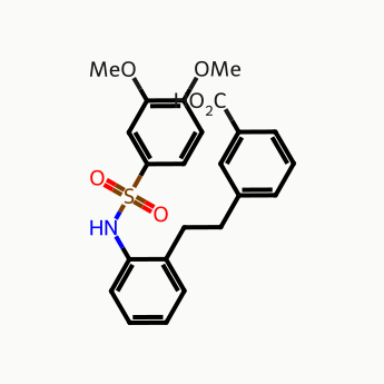 COc1ccc(S(=O)(=O)Nc2ccccc2CCc2cccc(C(=O)O)c2)cc1OC